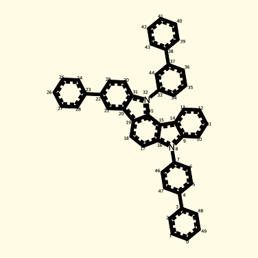 c1ccc(-c2ccc(-n3c4ccccc4c4c3ccc3c5cc(-c6ccccc6)ccc5n(-c5cccc(-c6ccccc6)c5)c34)cc2)cc1